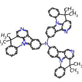 CC1(C)c2ccccc2-n2c3ccc(N(c4ccc5c(c4)c4cncc6c4n5-c4ccccc4C6(C)C)c4ccc5c(c4)c4nccc6c4n5-c4ccccc4C6(C)C)cc3c3cncc1c32